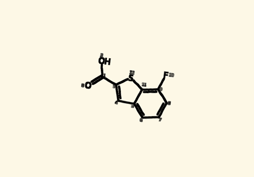 O=C(O)c1cc2cccc(F)c2s1